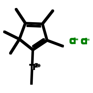 [CH3][Ti+2][C]1=C(C)C(C)=C(C)C1(C)C.[Cl-].[Cl-]